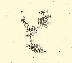 O=C(O)CCC(NC(=O)NC(CCCCNC(=O)CC(CC(=O)NCCCC[C@@H](NC(=O)N[C@@H](CCC(=O)O)C(=O)O)C(=O)O)NC(=O)c1ccc(-n2cc(CCCF)nn2)cc1)C(=O)O)C(=O)O